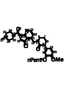 CCCCCOc1cc(N2CCCN(Cc3ccnc4c3c(Cl)cn4C(=O)N3CCN(C)CC3)C2=O)ccc1OC